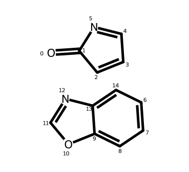 O=C1C=CC=N1.c1ccc2ocnc2c1